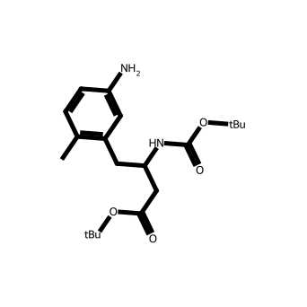 Cc1ccc(N)cc1CC(CC(=O)OC(C)(C)C)NC(=O)OC(C)(C)C